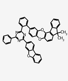 CC1(C)c2ccccc2-c2c1ccc1c2Oc2cc(-c3ccccc3-c3nc(-c4ccccc4)nc(-c4ccc5c(c4)oc4ccccc45)n3)ccc2O1